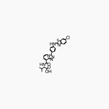 CC(C)[C@H](NC(=O)c1cccn2c(-c3ccc(Nc4nc5ccc(Cl)cc5s4)cc3)nnc12)C(=O)O